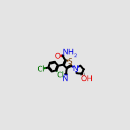 N#Cc1c(N2CC[C@@H](O)C2)sc(C(N)=O)c1-c1ccc(Cl)cc1Cl